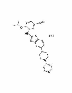 CC(C)Oc1ccc(C#N)cc1Nc1nc2cc(N3CCN(c4ccncc4)CC3)ccc2s1.Cl